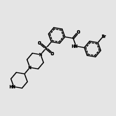 O=C(Nc1cccc(Br)c1)c1cccc(S(=O)(=O)N2CCN(C3CCNCC3)CC2)c1